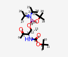 CC(=O)[C@@H](NC(=O)OC(C)(C)C)[C@@H](C)OP(OC(C)(C)C)N(C(C)C)C(C)C